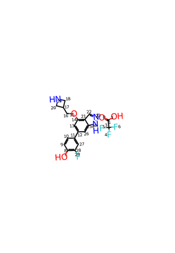 O=C(O)C(F)(F)F.Oc1ccc(-c2cc(OCC3CNC3)c3cn[nH]c3c2)cc1F